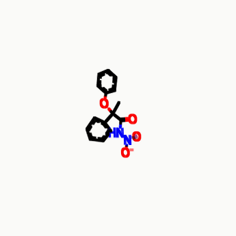 CC(Oc1ccccc1)(C(=O)N[N+](=O)[O-])c1ccccc1